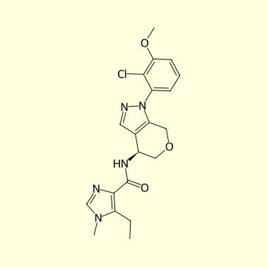 CCc1c(C(=O)N[C@@H]2COCc3c2cnn3-c2cccc(OC)c2Cl)ncn1C